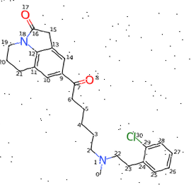 CN(CCCCCC(=O)c1cc2c3c(c1)CC(=O)N3CCC2)CCc1ccccc1Cl